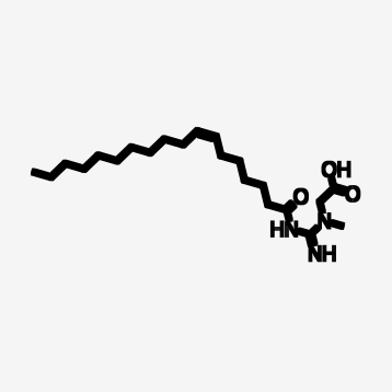 CCCCCCCCCC/C=C\CCCCCC(=O)NC(=N)N(C)CC(=O)O